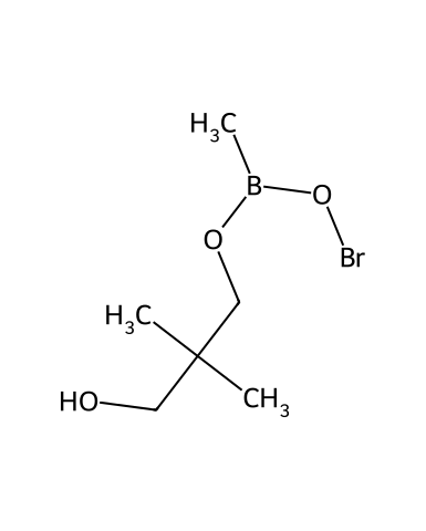 CB(OBr)OCC(C)(C)CO